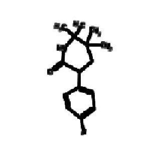 CC1(C)CC(c2ccc(F)cc2)C(=O)NC1(C)C